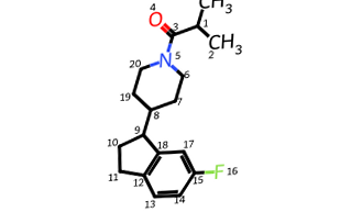 CC(C)C(=O)N1CCC(C2CCc3ccc(F)cc32)CC1